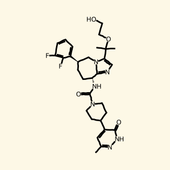 Cc1cc(C2CCN(C(=O)N[C@@H]3CC[C@@H](c4cccc(F)c4F)Cn4c(C(C)(C)OCCO)cnc43)CC2)c(=O)[nH]n1